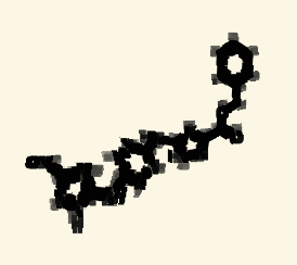 O=Nc1n[nH]c(Nc2nnc(Nc3nc(C(=O)OCc4ccccc4)n[nH]3)nn2)n1